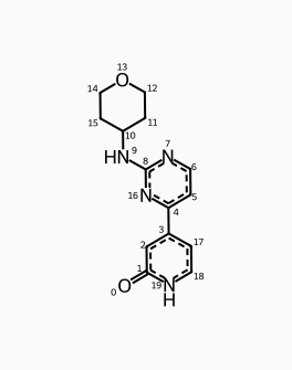 O=c1cc(-c2ccnc(NC3CCOCC3)n2)cc[nH]1